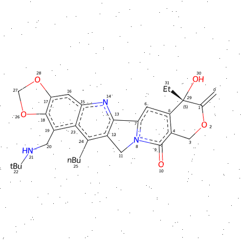 C=C1OCc2c(cc3n(c2=O)Cc2c-3nc3cc4c(c(CNC(C)(C)C)c3c2CCCC)OCO4)[C@@]1(O)CC